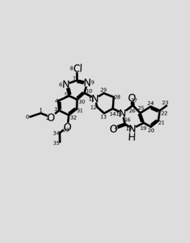 CCOc1cc2nc(Cl)nc(N3CCC(n4c(=O)[nH]c5ccc(C)cc5c4=O)CC3)c2cc1OCC